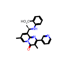 Cc1cc([C@@H](C)Nc2ccccc2C(=O)O)c2nc(-c3cccnc3)c(C)c(=O)n2c1